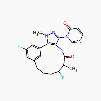 CC1C(=O)Nc2c(-n3cnccc3=O)nn(C)c2-c2cc(F)cc(c2)CCCC1F